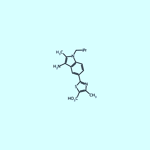 Cc1nc(-c2ccc3c(c2)c(N)c(C)n3CC(C)C)sc1C(=O)O